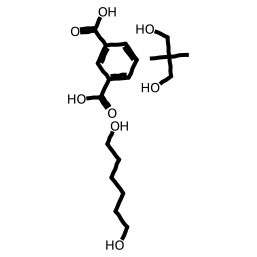 CC(C)(CO)CO.O=C(O)c1cccc(C(=O)O)c1.OCCCCCCO